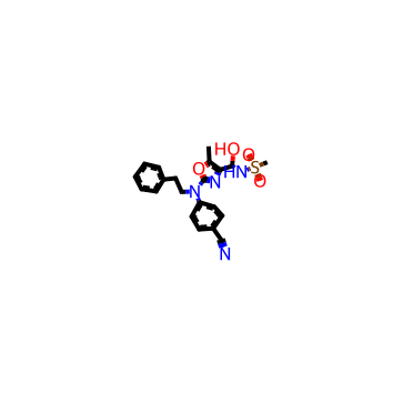 Cc1oc(N(CCc2ccccc2)c2ccc(C#N)cc2)nc1C(O)NS(C)(=O)=O